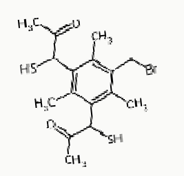 CC(=O)C(S)c1c(C)c(CBr)c(C)c(C(S)C(C)=O)c1C